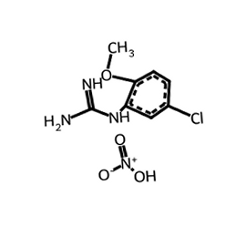 COc1ccc(Cl)cc1NC(=N)N.O=[N+]([O-])O